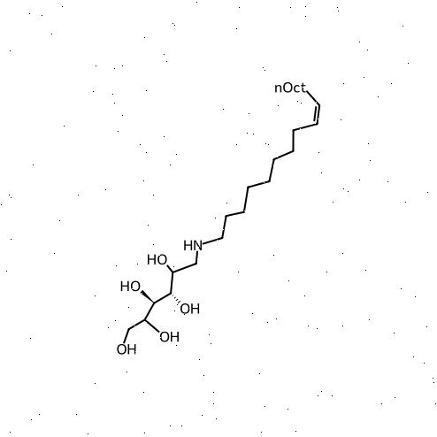 CCCCCCCC/C=C\CCCCCCCCNCC(O)[C@H](O)[C@H](O)C(O)CO